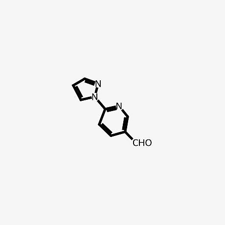 O=Cc1ccc(-n2cccn2)nc1